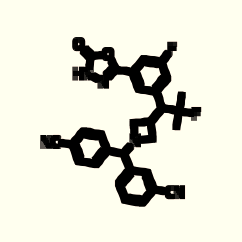 CC(C)(F)C(c1cc(F)cc(-c2n[nH]c(=O)o2)c1)C1CN(C(c2ccc(C#N)cc2)c2cccc(C#N)c2)C1